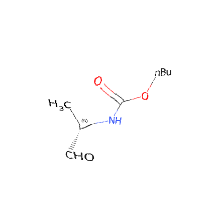 CCCCOC(=O)N[C@@H](C)C=O